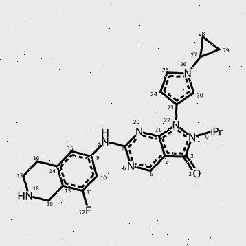 CC(C)n1c(=O)c2cnc(Nc3cc(F)c4c(c3)CCNC4)nc2n1-c1ccn(C2CC2)c1